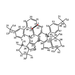 Cc1cc2c3c(c1)N(c1ccc(C(C)(C)C)cc1-c1ccccc1)c1c(sc4c1C(C)(C)CCC4(C)C)B3c1ccc3c(c1N2c1ccc(C(C)(C)C)cc1)C(C)(C)CCC3(C)C